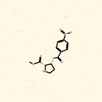 COC(=O)[C@H]1NCC[C@H]1OC(=O)c1ccc([N+](=O)[O-])cc1